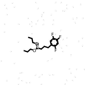 CCCO[SiH](CCCc1cc(F)c(F)cc1F)OCCC